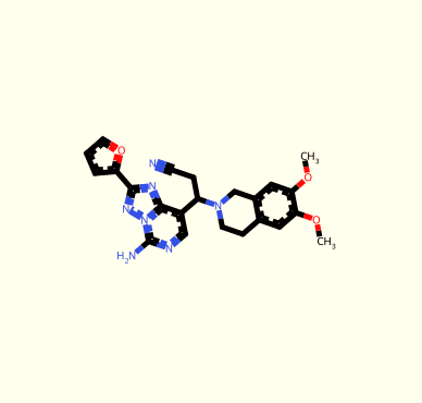 COc1cc2c(cc1OC)CN(C(CC#N)c1cnc(N)n3nc(-c4ccco4)nc13)CC2